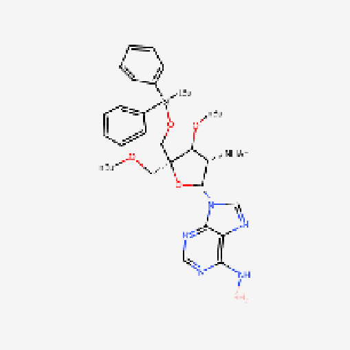 BNc1ncnc2c1ncn2[C@@H]1O[C@@](COCCCC)(CO[Si](c2ccccc2)(c2ccccc2)C(C)(C)C)C(OCCCC)[C@@H]1NC(C)=O